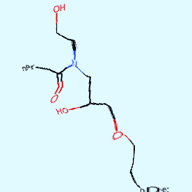 CCCCCCCCCCCCOCC(O)CN(CCO)C(=O)CCC